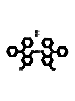 CC(C)c1ccc([O][Zr+2][O]c2ccc(C(C)C)cc2P(c2ccccc2)c2ccccc2)c(P(c2ccccc2)c2ccccc2)c1.[Cl-].[Cl-]